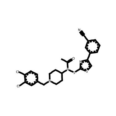 CC(=O)N(Sc1nc(-c2cccc(C#N)c2)cs1)C1CCN(Cc2ccc(Cl)c(Cl)c2)CC1